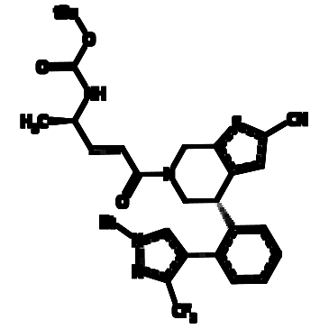 CCn1cc(-c2ccccc2[C@@H]2CN(C(=O)/C=C/[C@@H](C)NC(=O)OC(C)(C)C)Cc3sc(C#N)cc32)c(C(F)(F)F)n1